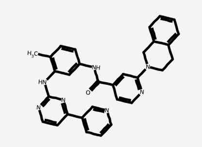 Cc1ccc(NC(=O)c2ccnc(N3CCc4ccccc4C3)c2)cc1Nc1nccc(-c2cccnc2)n1